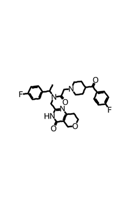 CC(c1ccc(F)cc1)N(Cc1nc2c(c(=O)[nH]1)COCC2)C(=O)CN1CCC(C(=O)c2ccc(F)cc2)CC1